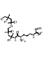 CCC(C)(COC(C)(CC)CC(C)(CC)CS)CC(C)(CC)NC(=O)C(N)CCCN/C(=N/C)NC